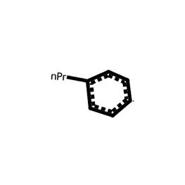 [CH2]CCc1cc[c]cc1